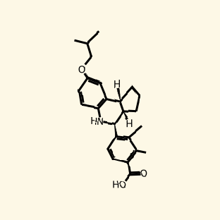 Cc1c(C(=O)O)ccc([C@H]2Nc3ccc(OCC(C)C)cc3[C@@H]3CCC[C@H]23)c1C